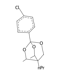 CCCC12COC(c3ccc(Cl)cc3)(OC1C)OC2C